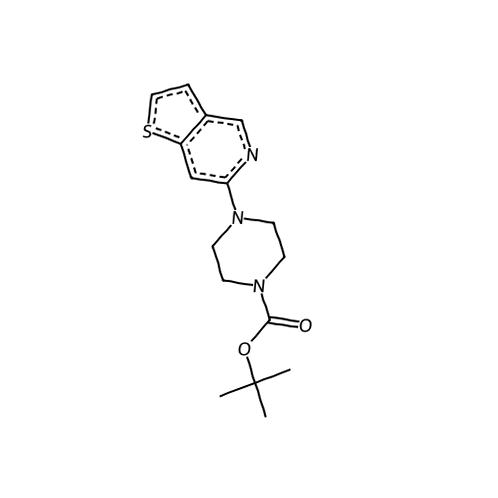 CC(C)(C)OC(=O)N1CCN(c2cc3sccc3cn2)CC1